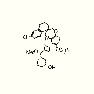 CO[C@@H]([C@H]1CCC[C@@H](O)C1)[C@@H]1CC[C@H]1CN1CC2(CCCc3cc(Cl)ccc32)COc2ccc(C(=O)O)cc21